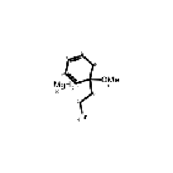 COC1(CCBr)C=CC=CC1.[MgH2]